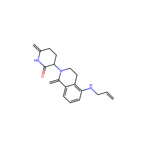 C=CCNc1cccc2c1CCN(C1CCC(=C)NC1=O)C2=C